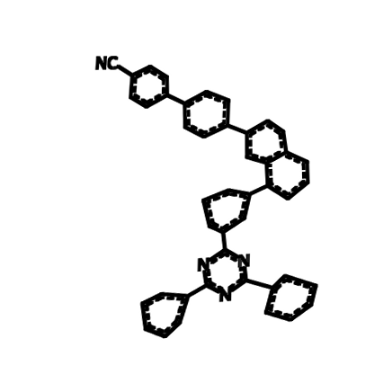 N#Cc1ccc(-c2ccc(-c3ccc4cccc(-c5cccc(-c6nc(-c7ccccc7)nc(-c7ccccc7)n6)c5)c4c3)cc2)cc1